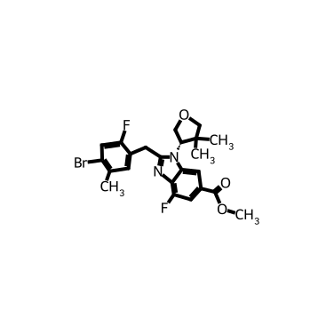 COC(=O)c1cc(F)c2nc(Cc3cc(C)c(Br)cc3F)n([C@@H]3COCC3(C)C)c2c1